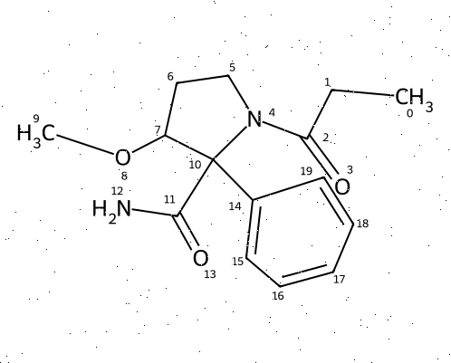 CCC(=O)N1CCC(OC)C1(C(N)=O)c1ccccc1